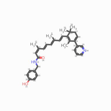 CC1=C(/C=C/C(C)=C/C=C/C(C)=C\C(=O)NCc2ccc(O)cc2)C(C)(C)CC=C1c1cccnc1